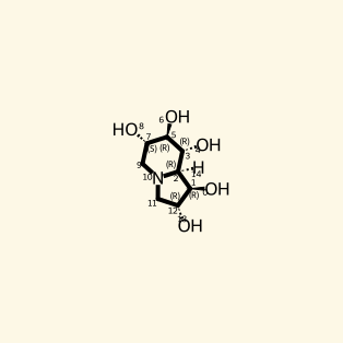 O[C@@H]1[C@@H]2[C@@H](O)[C@H](O)[C@@H](O)CN2C[C@H]1O